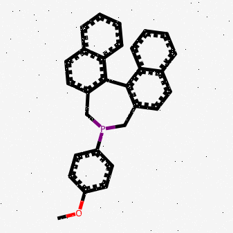 COc1ccc(P2Cc3ccc4ccccc4c3-c3c(ccc4ccccc34)C2)cc1